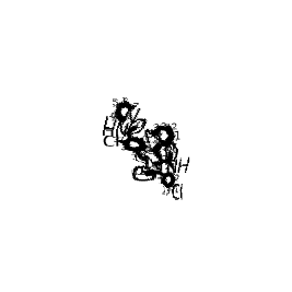 O=C(Nc1ccccn1)c1ccc(CN2C(=O)c3ccc(Cl)cc3NC(=O)C2Cc2ccccn2)cc1Cl